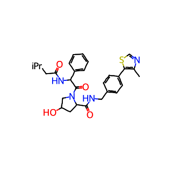 Cc1ncsc1-c1ccc(CNC(=O)C2CC(O)CN2C(=O)C(NC(=O)CC(C)C)c2ccccc2)cc1